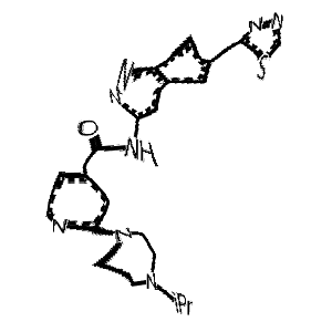 CC(C)N1CCN(c2cc(C(=O)Nc3cc4cc(-c5nncs5)ccc4nn3)ccn2)CC1